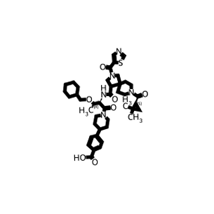 C[C@@H](OCC1CCCCC1)[C@H](NC(=O)C1CN(C(=O)c2cncs2)CC12CCN(C(=O)[C@H]1CC1(C)C)CC2)C(=O)N1CCC(c2ccc(C(=O)O)cc2)CC1